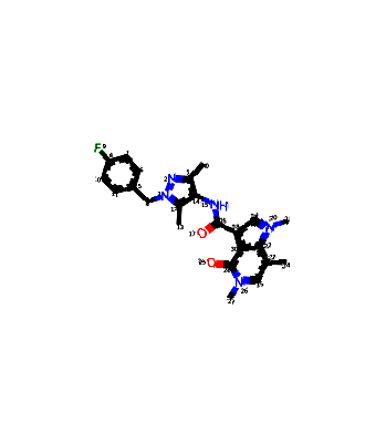 Cc1nn(Cc2ccc(F)cc2)c(C)c1NC(=O)c1cn(C)c2c(C)cn(C)c(=O)c12